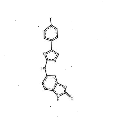 Cc1ccc(-c2cnc(Nc3ccc4[nH]c(=O)oc4c3)o2)cc1